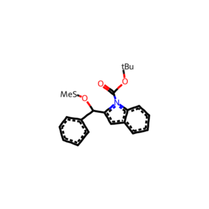 CSOC(c1ccccc1)c1cc2ccccc2n1C(=O)OC(C)(C)C